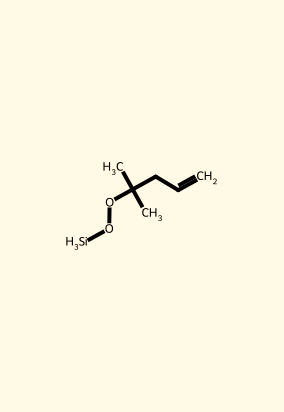 C=CCC(C)(C)OO[SiH3]